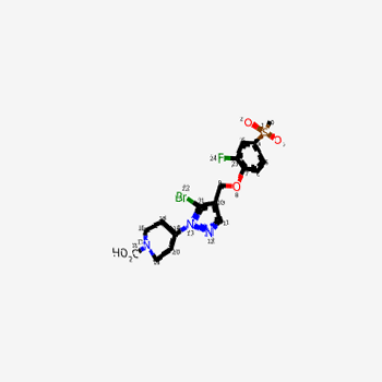 CS(=O)(=O)c1ccc(OCc2cnn(C3CCN(C(=O)O)CC3)c2Br)c(F)c1